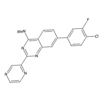 CNc1nc(-c2cnccn2)nc2cc(-c3ccc(Cl)c(F)c3)ccc12